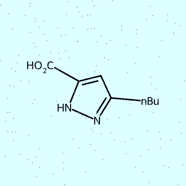 CCCCc1cc(C(=O)O)[nH]n1